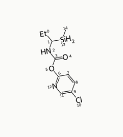 CCC(NC(=O)Oc1ccc(Cl)cn1)[SiH2]C